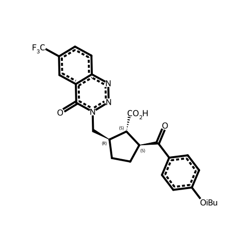 CC(C)COc1ccc(C(=O)[C@H]2CC[C@@H](Cn3nnc4ccc(C(F)(F)F)cc4c3=O)[C@@H]2C(=O)O)cc1